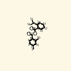 Cc1ccc(C(=O)OC(=O)c2ccccc2C(C)C)c(C)c1